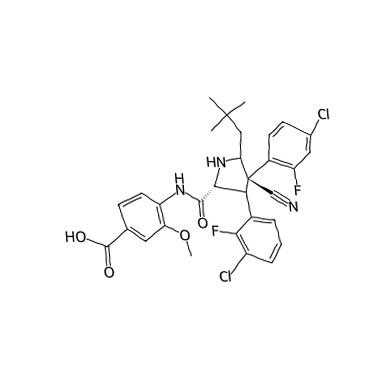 COc1cc(C(=O)O)ccc1NC(=O)[C@@H]1NC(CC(C)(C)C)[C@](C#N)(c2ccc(Cl)cc2F)C1c1cccc(Cl)c1F